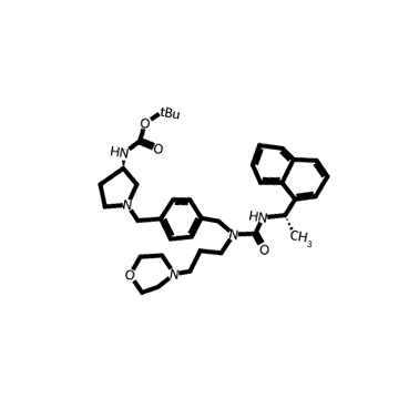 C[C@H](NC(=O)N(CCCN1CCOCC1)Cc1ccc(CN2CC[C@H](NC(=O)OC(C)(C)C)C2)cc1)c1cccc2ccccc12